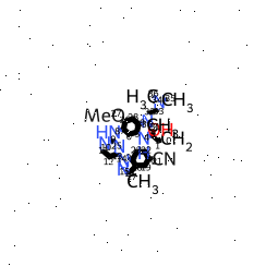 C=CC(O)Nc1cc(Nc2nccc(-n3nc(C)c4cc(C#N)ccc43)n2)c(OC)cc1N(C)CCN(C)C